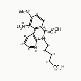 CNc1ccc(C(=O)N(CCCCC(=O)O)c2ccccn2)cc1[N+](=O)[O-].Cl